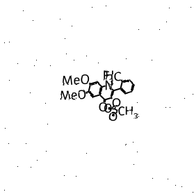 COc1cc2[nH]c(-c3ccccc3C(F)(F)F)c(OS(C)(=O)=O)c(=O)c2cc1OC